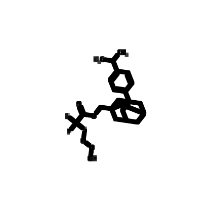 CC(C)c1ccc(C23CC4CC(CC(COC(=O)C(F)(F)SOOO)(C4)C2)C3)cc1